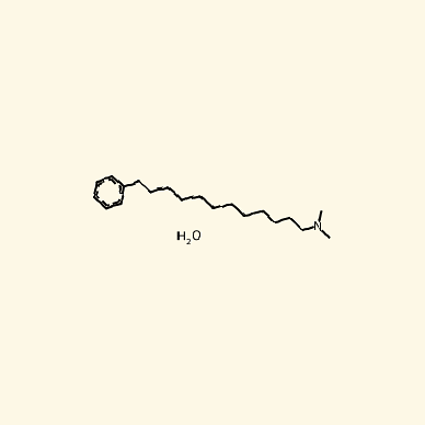 CN(C)CCCCCCCCCCCCc1ccccc1.O